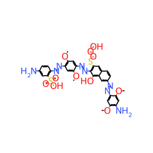 COc1cc(N=Nc2ccc3cc(SOOO)c(N=Nc4cc(OC)c(N=Nc5ccc(N)cc5S(=O)(=O)O)cc4OC)c(O)c3c2)c(OC)cc1N